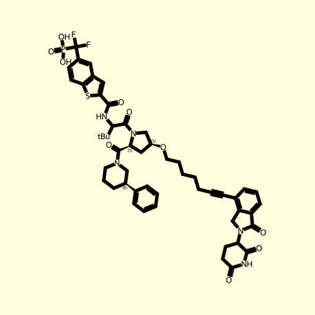 CC(C)(C)C(NC(=O)c1cc2cc(C(F)(F)P(=O)(O)O)ccc2s1)C(=O)N1C[C@@H](OCCCCCC#Cc2cccc3c2CN(C2CCC(=O)NC2=O)C3=O)C[C@H]1C(=O)N1CCC[C@H](c2ccccc2)C1